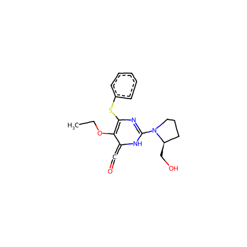 CCOC1=C(Sc2ccccc2)N=C(N2CCC[C@H]2CO)NC1=C=O